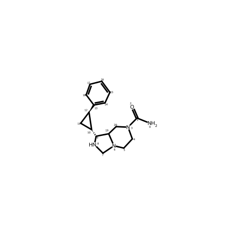 NC(=O)N1CCN2CNC([C@@H]3C[C@H]3c3ccccc3)C2C1